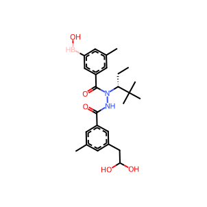 CC[C@@H](N(NC(=O)c1cc(C)cc(CC(O)O)c1)C(=O)c1cc(C)cc(BO)c1)C(C)(C)C